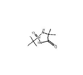 CC1(C)N[SH](=O)(C(C)(C)C)NC1=O